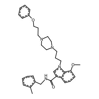 COc1cccc2c(C(=O)NCc3ccccc3C)cn(CCCN3CCN(CCCOc4ccccc4)CC3)c12